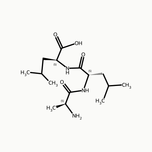 CC(C)C[C@H](NC(=O)[C@H](CC(C)C)NC(=O)[C@H](C)N)C(=O)O